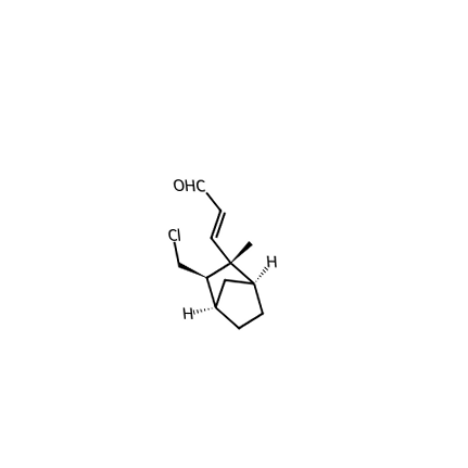 C[C@@]1(/C=C/C=O)[C@H]2CC[C@H](C2)[C@H]1CCl